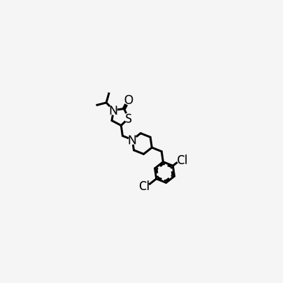 CC(C)N1CC(CN2CCC(Cc3cc(Cl)ccc3Cl)CC2)SC1=O